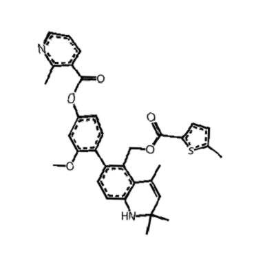 COc1cc(OC(=O)c2cccnc2C)ccc1-c1ccc2c(c1COC(=O)c1ccc(C)s1)C(C)=CC(C)(C)N2